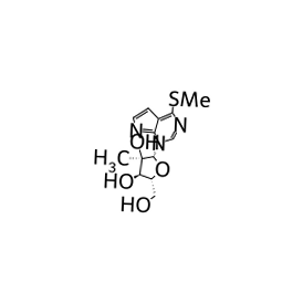 CSc1ncn([C@@H]2O[C@H](CO)[C@@H](O)[C@@]2(C)O)c2nccc1-2